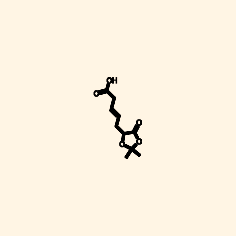 CC1(C)OC(=O)C(CC=CCC(=O)O)O1